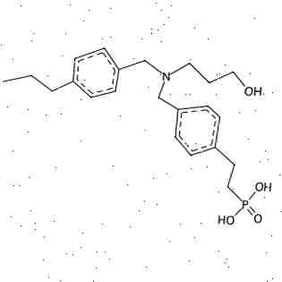 CCCc1ccc(CN(CCCO)Cc2ccc(CCP(=O)(O)O)cc2)cc1